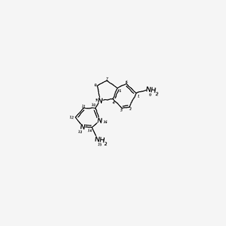 Nc1ccc2c(c1)CCN2c1ccnc(N)n1